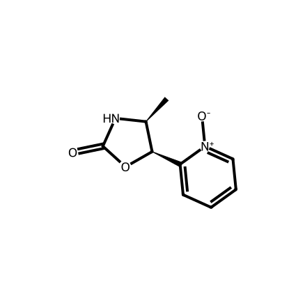 C[C@@H]1NC(=O)O[C@@H]1c1cccc[n+]1[O-]